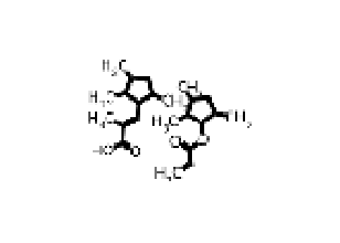 C=CC(=O)OC1C(C)CC(C)C1C.CC(=CC1C(C)CC(C)C1C)C(=O)O